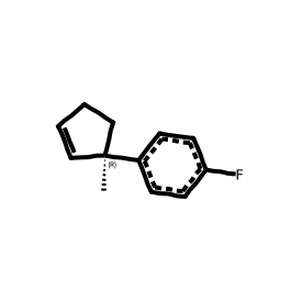 C[C@]1(c2ccc(F)cc2)C=CCC1